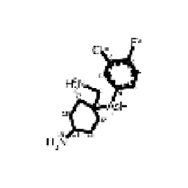 NCC1([AsH]c2ccc(F)c(Cl)c2)CCC(N)CC1